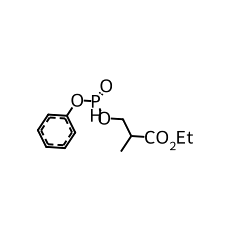 CCOC(=O)C(C)CO[PH](=O)Oc1ccccc1